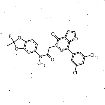 Cc1cc(Cl)cc(-c2nn(CC(=O)N(C)c3ccc4c(c3)OC(F)(F)O4)c(=O)c3ccoc23)c1